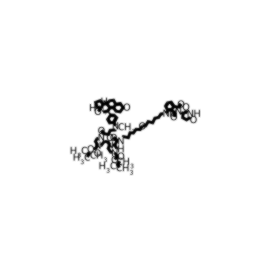 CN(CCCC(=O)N1CCN(C(=O)OC(C)(C)C)CC1C(=O)N1CCN(C(=O)OC(C)(C)C)CC1C(=O)NCCCCCCOCCCCCCNc1cccc2c1C(=O)N(C1CCC(=O)NC1=O)C2=O)c1ccc([C@H]2C[C@]34O[C@H]3CCC4[C@@H]3CCC4=CC(=O)CCC4=C32)cc1